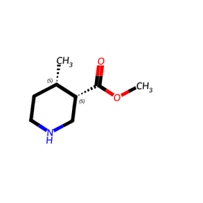 COC(=O)[C@@H]1CNCC[C@@H]1C